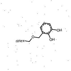 CCCCCCCOCc1cccc(O)c1O